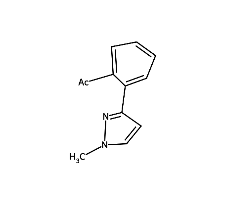 CC(=O)c1ccccc1-c1ccn(C)n1